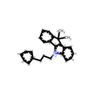 CC1(C)c2ccccc2-c2c1c1ccccc1n2CCCc1ccccc1